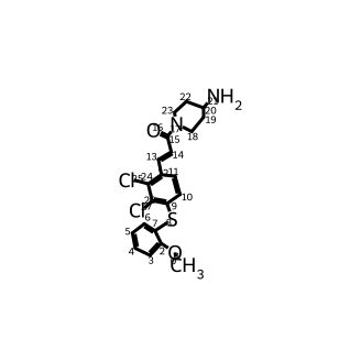 COc1ccccc1Sc1ccc(C=CC(=O)N2CCC(N)CC2)c(Cl)c1Cl